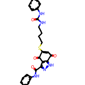 O=C(NCCCCSC1=CC(=O)c2[nH]nc(C(=O)Nc3ccccc3)c2C1=O)Nc1ccccc1